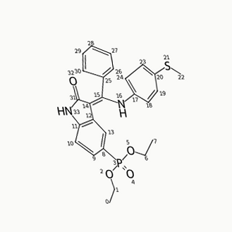 CCOP(=O)(OCC)c1ccc2c(c1)C(=C(Nc1ccc(SC)cc1)c1ccccc1)C(=O)N2